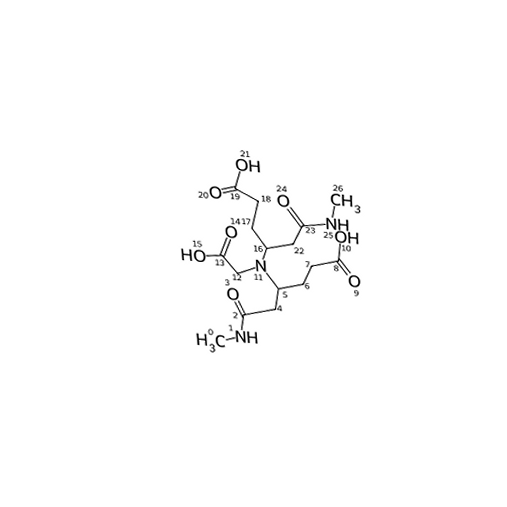 CNC(=O)CC(CCC(=O)O)N(CC(=O)O)C(CCC(=O)O)CC(=O)NC